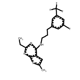 CCc1nc(NCCCc2cc(F)cc(C(F)(F)F)c2)c2cc(C)sc2n1